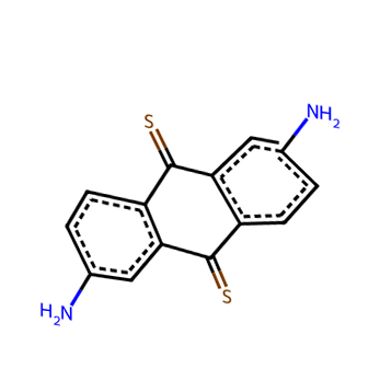 Nc1ccc2c(c1)C(=S)c1ccc(N)cc1C2=S